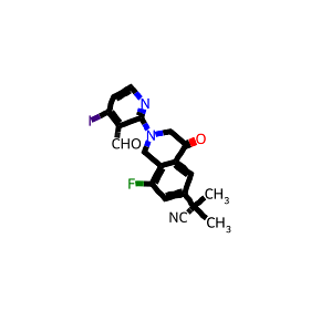 CC(C)(C#N)c1cc(F)c2c(c1)C(=O)CN(c1nccc(I)c1C=O)C2